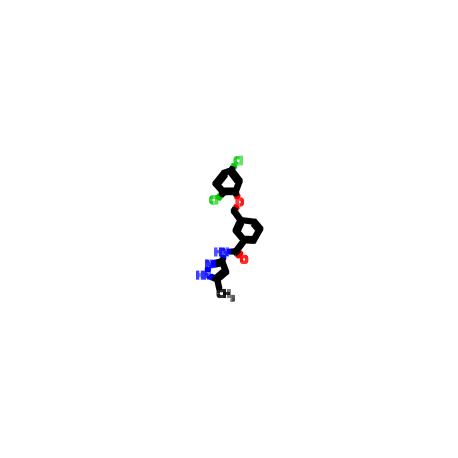 Cc1cc(NC(=O)c2cccc(COc3cc(Cl)ccc3Cl)c2)n[nH]1